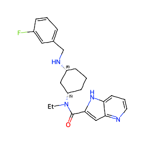 CCN(C(=O)c1cc2ncccc2[nH]1)[C@H]1CCC[C@@H](NCc2cccc(F)c2)C1